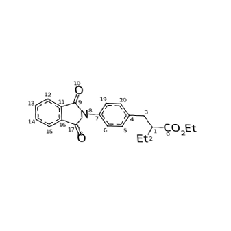 CCOC(=O)C(CC)Cc1ccc(N2C(=O)c3ccccc3C2=O)cc1